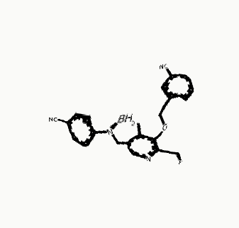 BN(Cc1cnc(CF)c(OCc2cccc(C#N)c2)c1C)c1ccc(C#N)cc1